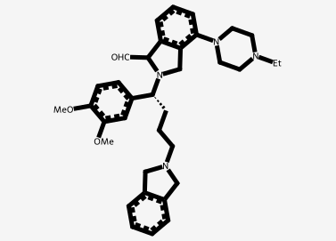 CCN1CCN(c2cccc3c2CN([C@H](CCCN2Cc4ccccc4C2)c2ccc(OC)c(OC)c2)C3C=O)CC1